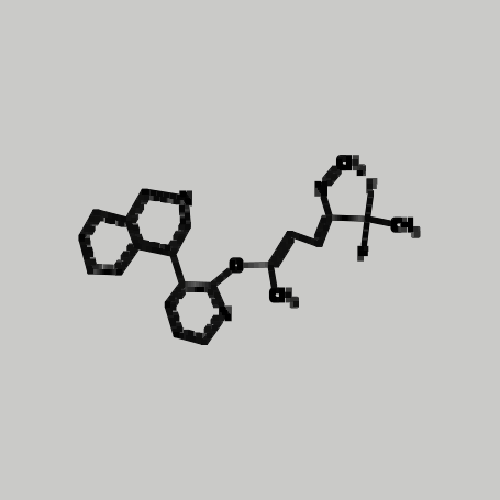 C=N/C(=C\C=C(/C)Oc1ncccc1-c1cncc2ccccc12)C(C)(F)F